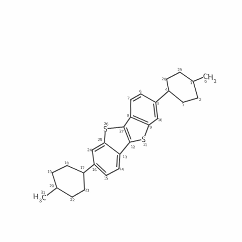 CC1CCC(c2ccc3c(c2)sc2c4ccc(C5CCC(C)CC5)cc4sc32)CC1